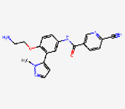 Cn1nccc1-c1cc(NC(=O)c2ccc(C#N)nc2)ccc1OCCN